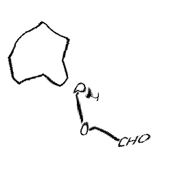 C1CCCC1.O=COO